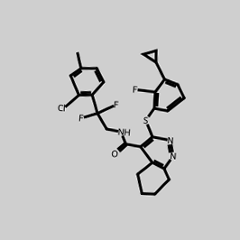 Cc1ccc(C(F)(F)CNC(=O)c2c(Sc3cccc(C4CC4)c3F)nnc3c2CCCC3)c(Cl)c1